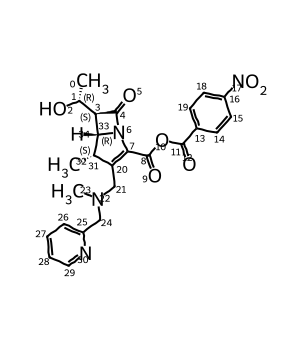 C[C@@H](O)[C@H]1C(=O)N2C(C(=O)OC(=O)c3ccc([N+](=O)[O-])cc3)=C(CN(C)Cc3ccccn3)[C@H](C)[C@H]12